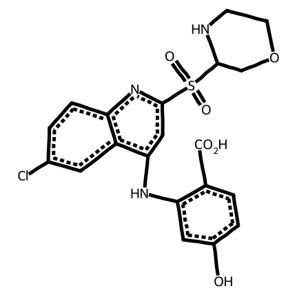 O=C(O)c1ccc(O)cc1Nc1cc(S(=O)(=O)C2COCCN2)nc2ccc(Cl)cc12